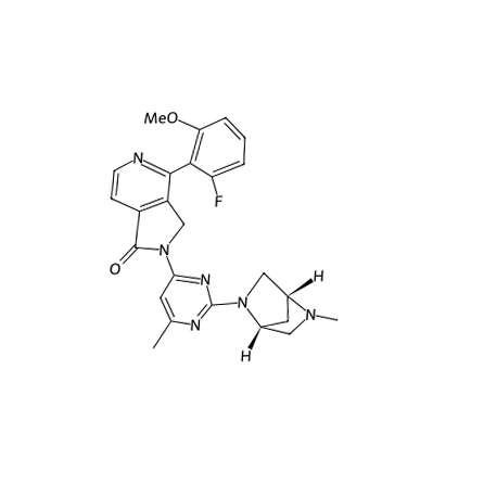 COc1cccc(F)c1-c1nccc2c1CN(c1cc(C)nc(N3C[C@H]4C[C@@H]3CN4C)n1)C2=O